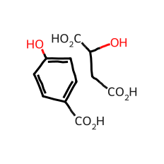 O=C(O)CC(O)C(=O)O.O=C(O)c1ccc(O)cc1